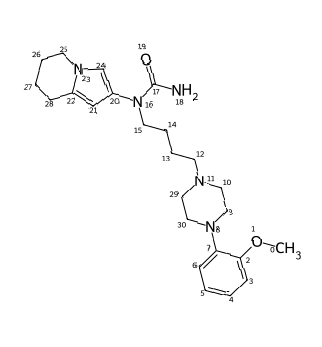 COc1ccccc1N1CCN(CCCCN(C(N)=O)c2cc3n(c2)CCCC3)CC1